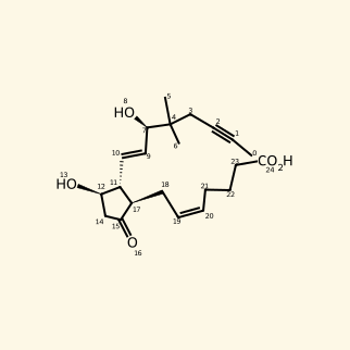 CC#CCC(C)(C)[C@H](O)/C=C/[C@H]1[C@H](O)CC(=O)[C@@H]1C/C=C\CCCC(=O)O